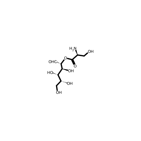 N[C@@H](CO)C(=O)O[C@@H](C=O)[C@@H](O)[C@@H](O)[C@H](O)CO